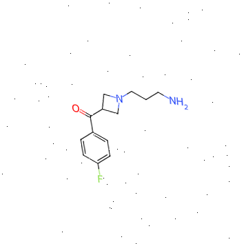 NCCCN1CC(C(=O)c2ccc(F)cc2)C1